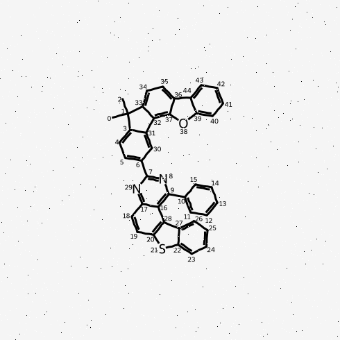 CC1(C)c2ccc(-c3nc(-c4ccccc4)c4c(ccc5sc6ccccc6c54)n3)cc2-c2c1ccc1c2oc2ccccc21